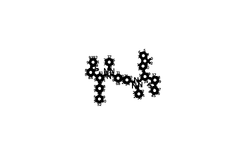 CC1(C)c2ccccc2-c2ccc(-c3cc(-c4nc(-c5ccccc5)nc(-c5ccccc5)n4)cc(-c4cccc5c4sc4ccccc45)c3)cc21.c1ccc(-c2ccc(-c3cc(-c4nc(-c5ccccc5)nc(-c5ccccc5)n4)cc(-c4cccc5c4sc4ccccc45)c3)cc2)cc1